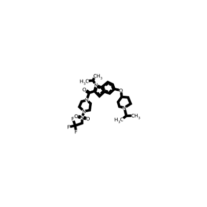 CC(C)N1CCC(Oc2ccc3c(c2)cc(C(=O)N2CCN(S(=O)(=O)CC(F)(F)F)CC2)n3C(C)C)CC1